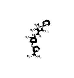 C=C(N)c1cc(Oc2ccc(NC(=O)C3=C(C)N(C)N(c4ccccc4)C3=C)c(C)c2)ccn1